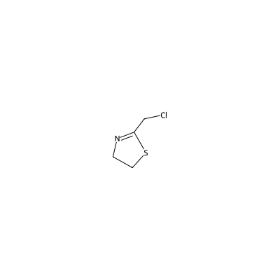 ClCC1=NCCS1